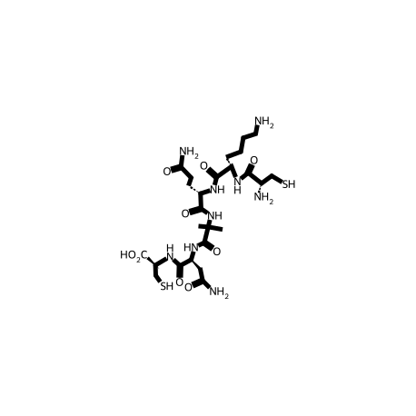 CC(C)(NC(=O)[C@H](CCC(N)=O)NC(=O)[C@H](CCCCN)NC(=O)[C@@H](N)CS)C(=O)N[C@@H](CC(N)=O)C(=O)N[C@@H](CS)C(=O)O